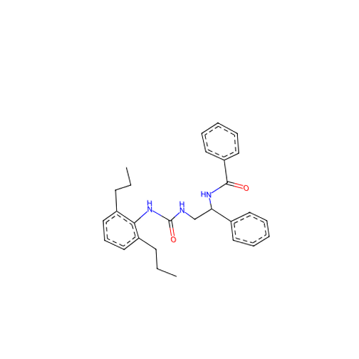 CCCc1cccc(CCC)c1NC(=O)NCC(NC(=O)c1ccccc1)c1ccccc1